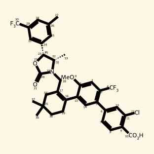 COc1cc(C(F)(F)F)c(-c2ccc(C(=O)O)c(Cl)c2)cc1C1=C(CN2C(=O)O[C@H](c3cc(C)cc(C(F)(F)F)c3)[C@@H]2C)CC(C)(C)CC1